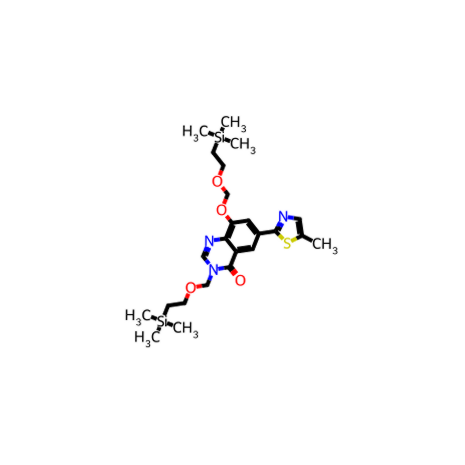 Cc1cnc(-c2cc(OCOCC[Si](C)(C)C)c3ncn(COCC[Si](C)(C)C)c(=O)c3c2)s1